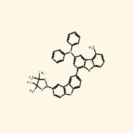 Cc1cccc2oc3c(-c4ccc5sc6ccc(B7OC(C)(C)C(C)(C)O7)cc6c5c4)cc(N(c4ccccc4)c4ccccc4)cc3c12